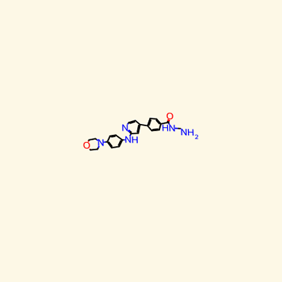 NCNC(=O)c1ccc(-c2ccnc(Nc3ccc(N4CCOCC4)cc3)c2)cc1